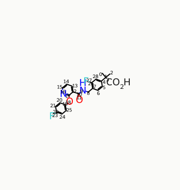 CC(C)(C(=O)O)c1ccc(CNC(=O)c2cccnc2Oc2ccc(F)cc2)c(F)c1